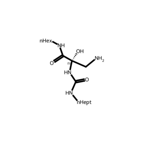 CCCCCCCNC(=O)N[C@](O)(CN)C(=O)NCCCCCC